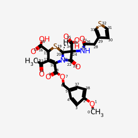 COc1ccc(COC(=O)C2=C(C(C)=O)C(C(=O)O)S[C@@H]3N2C(=O)C3(NC(=O)Cc2ccsc2)C(=O)O)cc1